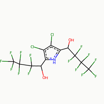 OC(c1[nH]c(C(O)C(F)(F)C(F)(F)C(F)(F)F)c(Cl)c1Cl)C(F)(F)C(F)(F)C(F)(F)F